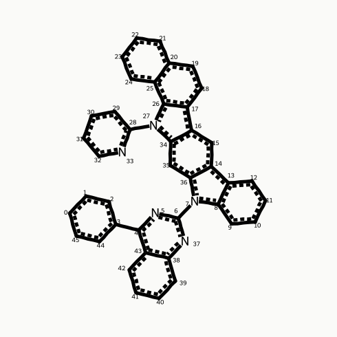 c1ccc(-c2nc(-n3c4ccccc4c4cc5c6ccc7ccccc7c6n(-c6ccccn6)c5cc43)nc3ccccc23)cc1